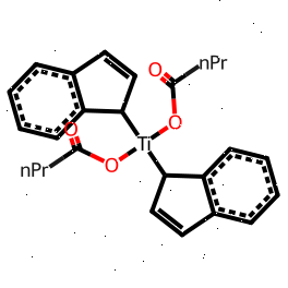 CCCC(=O)[O][Ti]([O]C(=O)CCC)([CH]1C=Cc2ccccc21)[CH]1C=Cc2ccccc21